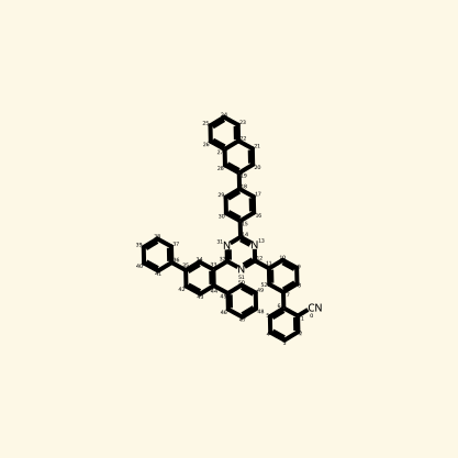 N#Cc1ccccc1-c1cccc(-c2nc(-c3ccc(-c4ccc5ccccc5c4)cc3)nc(-c3cc(-c4ccccc4)ccc3-c3ccccc3)n2)c1